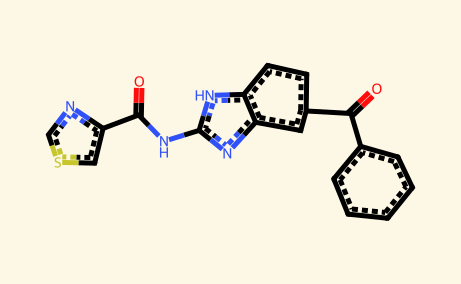 O=C(c1ccccc1)c1ccc2[nH]c(NC(=O)c3cscn3)nc2c1